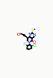 COCC#Cc1cn(-c2c(F)cccc2Cl)c(=O)c2cnc(SC)nc12